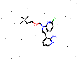 C[Si](C)(C)CCOCn1cc(-c2cccnc2N)c2ccc(Cl)nc21